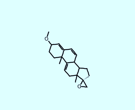 COC1C=C2C=CC3C(=CCC4(C)C3CC[C@@]43CO3)C2(C)CC1